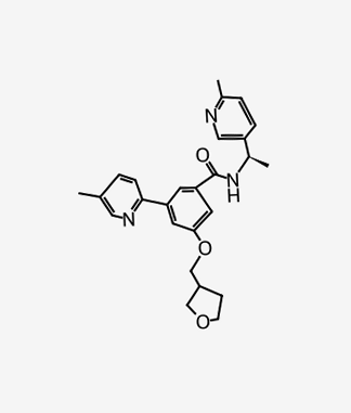 Cc1ccc(-c2cc(OCC3CCOC3)cc(C(=O)N[C@H](C)c3ccc(C)nc3)c2)nc1